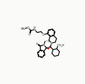 CC(C)(C)OC(=O)NCCOc1cccc2c1[C@@H](CN1C(=O)c3ccccc3C1=O)N(C(=O)C1CCCCC1C(=O)O)CC2